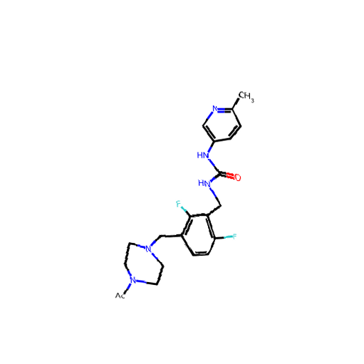 CC(=O)N1CCN(Cc2ccc(F)c(CNC(=O)Nc3ccc(C)nc3)c2F)CC1